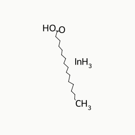 CCCCCCCCCCCCCCCCC(=O)O.[InH3]